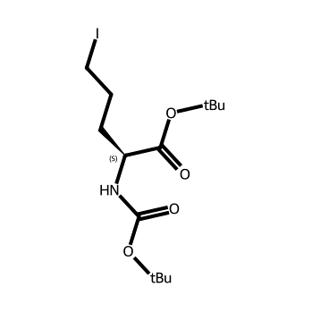 CC(C)(C)OC(=O)N[C@@H](CCCI)C(=O)OC(C)(C)C